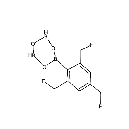 FCc1cc(CF)c(B2OBOBO2)c(CF)c1